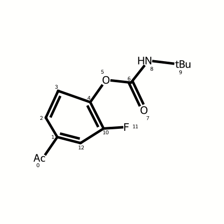 CC(=O)c1ccc(OC(=O)NC(C)(C)C)c(F)c1